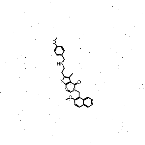 COc1ccc(CNCCc2sc3ncn(Cc4c(OC)ccc5ccccc45)c(=O)c3c2C)cc1